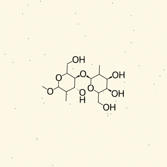 COC1OC(CO)[C@@H](O[C@@H]2OC(CO)[C@H](O)[C@H](O)C2C)[C@H](O)C1C